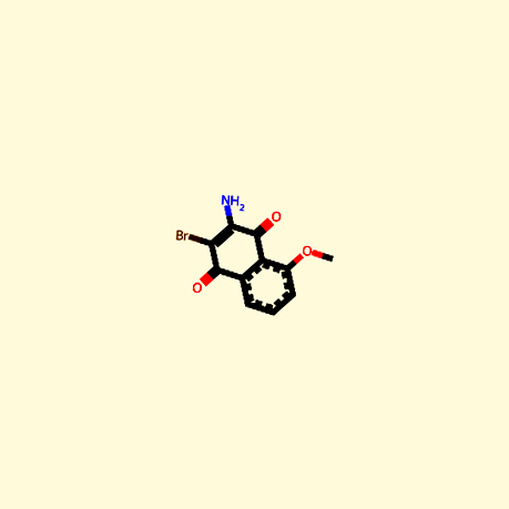 COc1cccc2c1C(=O)C(N)=C(Br)C2=O